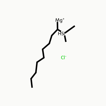 CCCCCCCC[CH]([Mg+])[SiH](C)C.[Cl-]